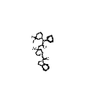 CC(=O)C1(CC(=O)N(c2ccccc2)C2CCCC(F)(F)C2)CCN(C(=O)N2CCc3ccccc32)CC1